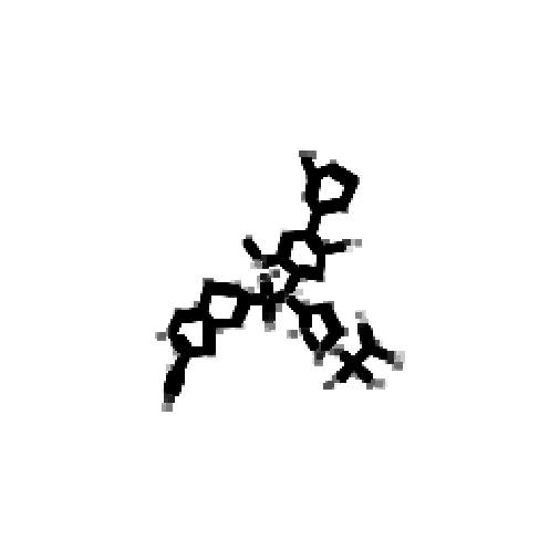 COc1cc(-c2cccc(F)c2)c(Cl)cc1N(c1ccon1)S(=O)(=O)c1ccc2cnc(C#N)cc2c1.O=C(O)C(F)(F)F